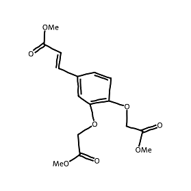 COC(=O)/C=C/c1ccc(OCC(=O)OC)c(OCC(=O)OC)c1